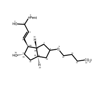 CCCCCC(O)C=C[C@H]1[C@@H]2CC(OCCCC(=O)O)C[C@H]2C[C@@H]1O